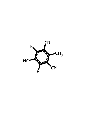 Cc1c(C#N)c(F)c(C#N)c(F)c1C#N